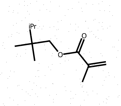 C=C(C)C(=O)OCC(C)(C)C(C)C